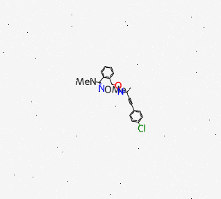 CN/C(=N/OC)c1ccccc1CO/N=C(\C)C#Cc1ccc(Cl)cc1